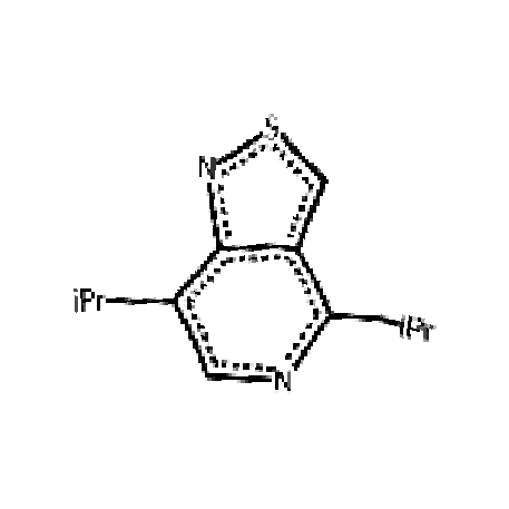 CC(C)c1ncc(C(C)C)c2nscc12